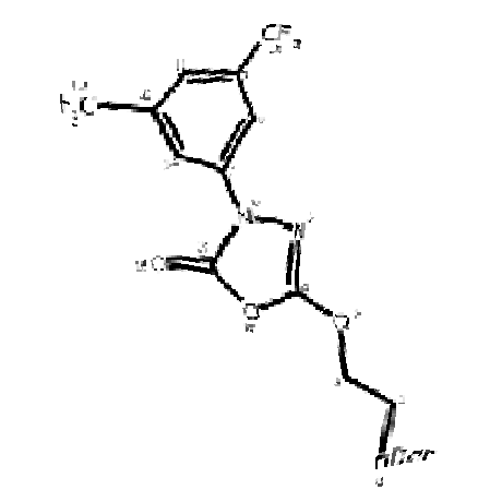 CCCCCCCCCCCCOc1nn(-c2cc(C(F)(F)F)cc(C(F)(F)F)c2)c(=O)o1